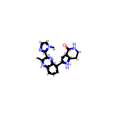 Cc1nc2cccc(-c3cc4c([nH]3)CCNC4=O)c2nc1-c1nccn1C